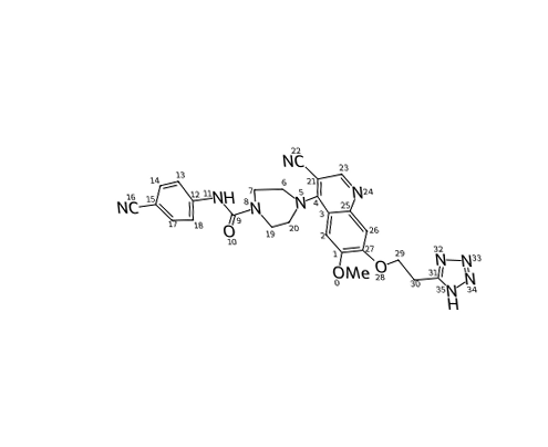 COc1cc2c(N3CCN(C(=O)Nc4ccc(C#N)cc4)CC3)c(C#N)cnc2cc1OCCc1nnn[nH]1